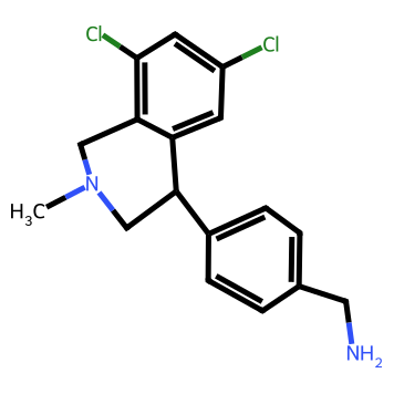 CN1Cc2c(Cl)cc(Cl)cc2C(c2ccc(CN)cc2)C1